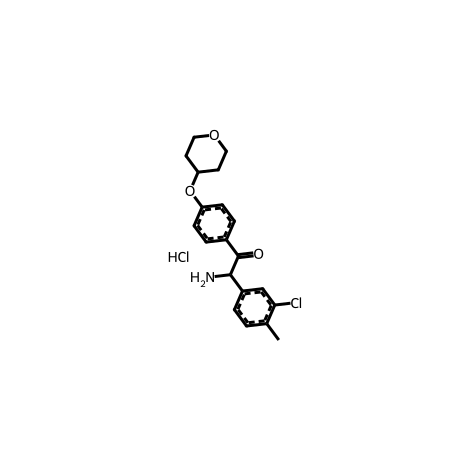 Cc1ccc(C(N)C(=O)c2ccc(OC3CCOCC3)cc2)cc1Cl.Cl